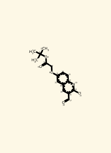 CC(C)(C)OC(=O)COc1ccc2nc(Cl)c(C=O)cc2c1